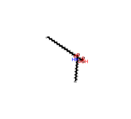 CCCCCCCCCCCCCCCCCCCCCCOC(=O)[C@H](CCC(=O)O)NC(=O)CCCCCCCCCCCCC